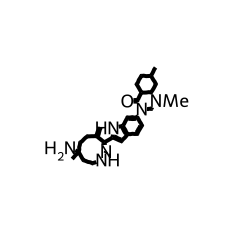 C=C1CCC(C)(N)CCN/N=C\1c1cc2ccc(N(CNC)C(=O)C3CCC(C)CC3)cc2[nH]1